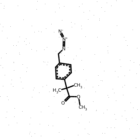 COC(=O)C(C)(C)c1ccc(CN=[N+]=[N-])cc1